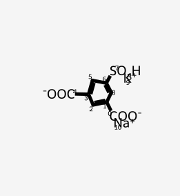 O=C([O-])c1cc(C(=O)[O-])cc(S(=O)(=O)O)c1.[K+].[Na+]